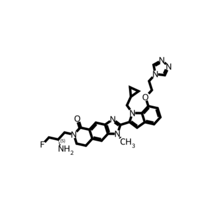 Cn1c(-c2cc3cccc(OCCn4cnnc4)c3n2CC2CC2)nc2cc3c(cc21)CCN(C[C@H](N)CF)C3=O